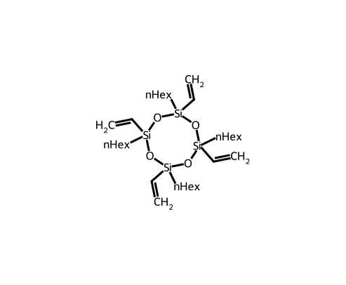 C=C[Si]1(CCCCCC)O[Si](C=C)(CCCCCC)O[Si](C=C)(CCCCCC)O[Si](C=C)(CCCCCC)O1